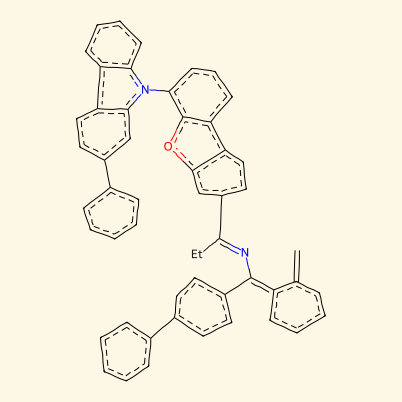 C=c1cccc/c1=C(/N=C(\CC)c1ccc2c(c1)oc1c(-n3c4ccccc4c4ccc(-c5ccccc5)cc43)cccc12)c1ccc(-c2ccccc2)cc1